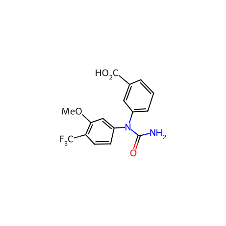 COc1cc(N(C(N)=O)c2cccc(C(=O)O)c2)ccc1C(F)(F)F